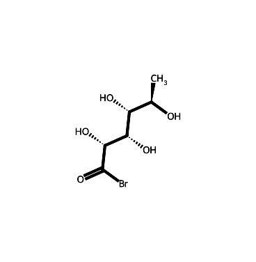 C[C@@H](O)[C@@H](O)[C@H](O)[C@@H](O)C(=O)Br